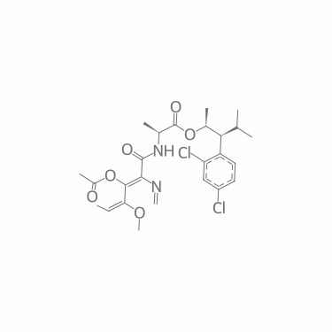 C=N/C(C(=O)N[C@@H](C)C(=O)O[C@@H](C)[C@H](c1ccc(Cl)cc1Cl)C(C)C)=C(OC(C)=O)\C(=C/C)OC